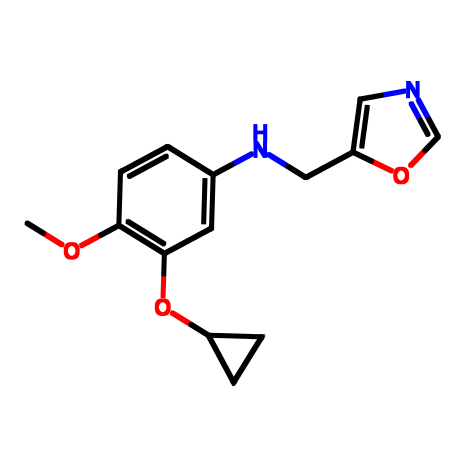 COc1ccc(NCc2cnco2)cc1OC1CC1